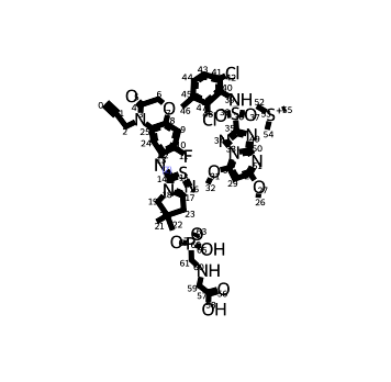 C#CCN1C(=O)COc2cc(F)c(/N=c3\snc4n3CC(C)(C)C4)cc21.COc1cc(OC)n2nc(S(=O)(=O)Nc3c(Cl)ccc(C)c3Cl)nc2n1.C[S+](C)C.O=C(O)CNCP(=O)([O-])O